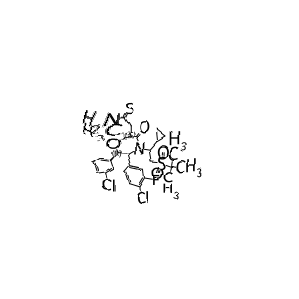 CC(C)(C)S(=O)(=O)CC(C1CC1)N1C(=O)[C@](C)(CC(N)=S)O[C@H](c2cccc(Cl)c2)C1c1ccc(Cl)c(F)c1